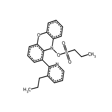 CCCc1cccnc1-c1cccc2c1N(OS(=O)(=O)CCC)c1ccccc1O2